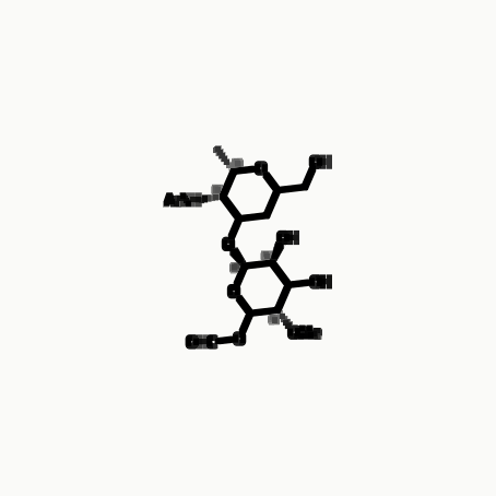 CO[C@@H]1C(OC=O)O[C@@H](OC2CC(CO)O[C@@H](C)[C@H]2NC(C)=O)[C@@H](O)C1O